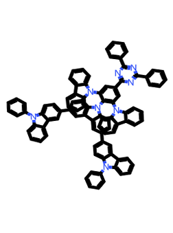 c1ccc(-c2nc(-c3ccccc3)nc(-c3cc(-n4c5ccccc5c5ccccc54)c(-n4c5ccc(-c6ccc7c(c6)c6ccccc6n7-c6ccccc6)cc5c5cc(-c6ccc7c(c6)c6ccccc6n7-c6ccccc6)ccc54)c(-n4c5ccccc5c5ccccc54)c3)n2)cc1